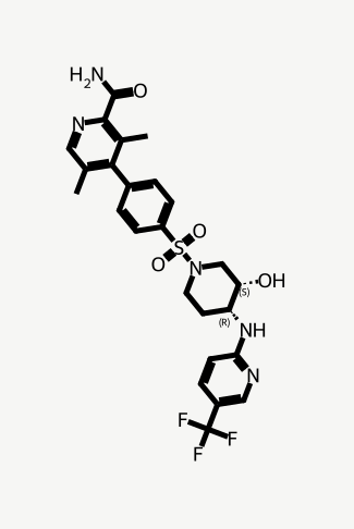 Cc1cnc(C(N)=O)c(C)c1-c1ccc(S(=O)(=O)N2CC[C@@H](Nc3ccc(C(F)(F)F)cn3)[C@@H](O)C2)cc1